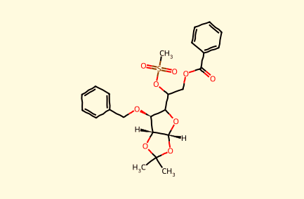 CC1(C)O[C@H]2OC(C(COC(=O)c3ccccc3)OS(C)(=O)=O)[C@H](OCc3ccccc3)[C@H]2O1